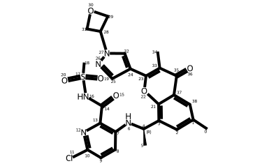 Cc1cc([C@@H](C)Nc2ccc(Cl)nc2C(=O)NS(C)(=O)=O)c2oc(-c3cnn(C4COC4)c3)c(C)c(=O)c2c1